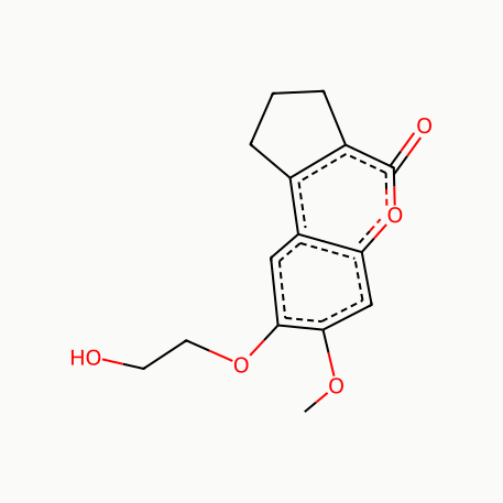 COc1cc2oc(=O)c3c(c2cc1OCCO)CCC3